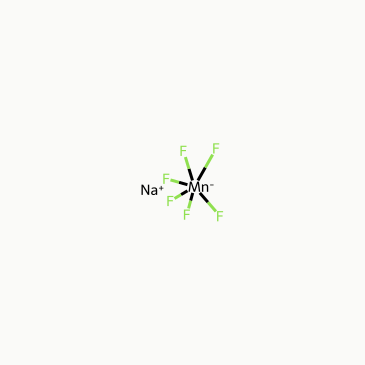 [F][Mn-]([F])([F])([F])([F])[F].[Na+]